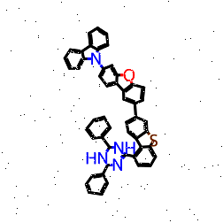 c1ccc(C2N=C(c3cccc4sc5cc(-c6ccc7oc8cc(-n9c%10ccccc%10c%10ccccc%109)ccc8c7c6)ccc5c34)NC(c3ccccc3)N2)cc1